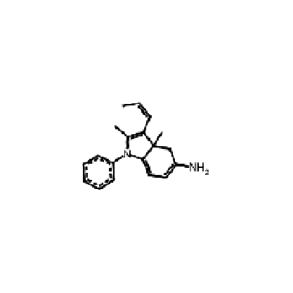 C/C=C\C1=C(C)N(c2ccccc2)C2=CC=C(N)CC21C